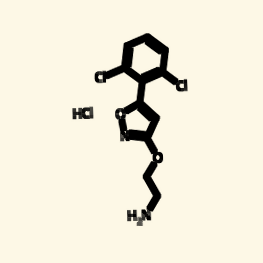 Cl.NCCOc1cc(-c2c(Cl)cccc2Cl)on1